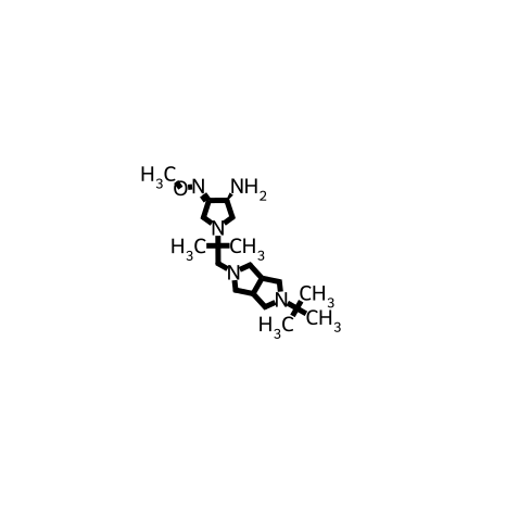 CO/N=C1\CN(C(C)(C)CN2CC3CN(C(C)(C)C)CC3C2)C[C@@H]1N